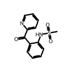 CS(=O)(=O)Nc1ccccc1C(=O)c1ccccn1